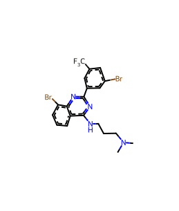 CN(C)CCCNc1nc(-c2cc(Br)cc(C(F)(F)F)c2)nc2c(Br)cccc12